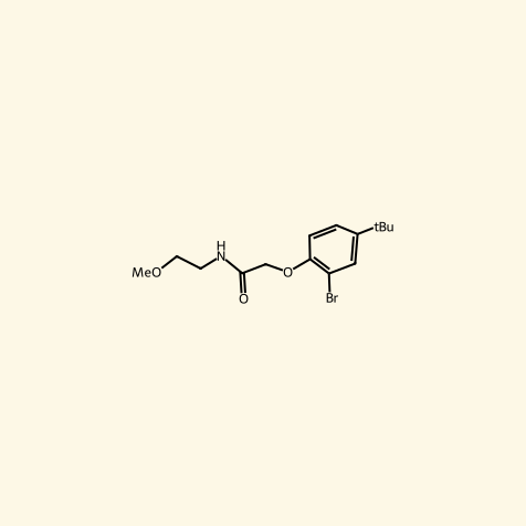 COCCNC(=O)COc1ccc(C(C)(C)C)cc1Br